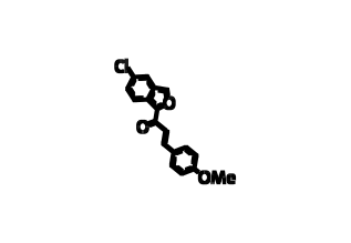 COc1ccc(C=CC(=O)c2occ3cc(Cl)ccc23)cc1